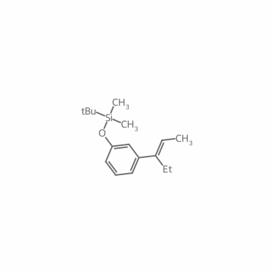 CC=C(CC)c1cccc(O[Si](C)(C)C(C)(C)C)c1